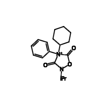 CC(C)N1OC(=O)[N+](c2ccccc2)(C2CCCCC2)C1=O